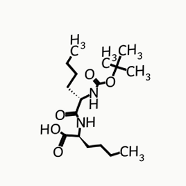 CCCC[C@H](NC(=O)[C@H](CCCC)NC(=O)OC(C)(C)C)C(=O)O